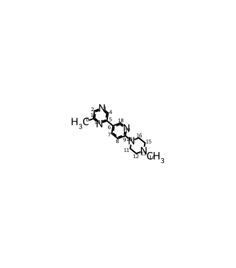 Cc1cncc(-c2ccc(N3CCN(C)CC3)nc2)n1